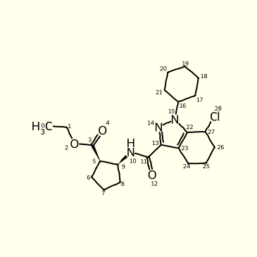 CCOC(=O)[C@@H]1CCC[C@@H]1NC(=O)c1nn(C2CCCCC2)c2c1CCCC2Cl